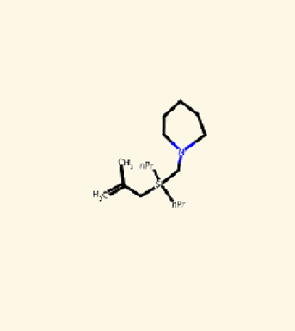 C=C(C)C[Si](CCC)(CCC)CN1CCCCC1